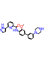 COc1cc(-c2cccc(N3CCNCC3)c2)ccc1NC(=O)c1cccc(-c2ccn[nH]2)n1